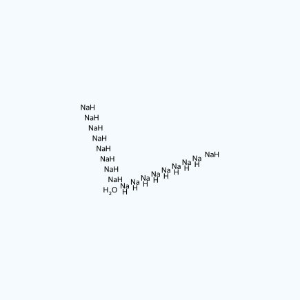 O.[NaH].[NaH].[NaH].[NaH].[NaH].[NaH].[NaH].[NaH].[NaH].[NaH].[NaH].[NaH].[NaH].[NaH].[NaH].[NaH].[NaH]